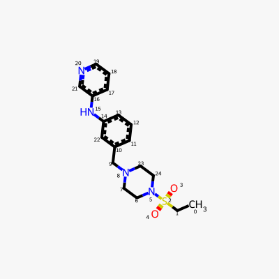 CCS(=O)(=O)N1CCN(Cc2cccc(Nc3cccnc3)c2)CC1